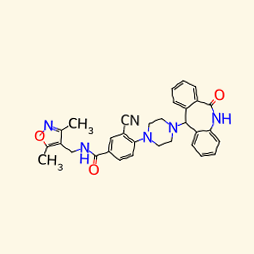 Cc1noc(C)c1CNC(=O)c1ccc(N2CCN(C3c4ccccc4NC(=O)c4ccccc43)CC2)c(C#N)c1